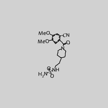 COc1cc(C#N)c(C(=O)N2CCC(CCNS(N)(=O)=O)CC2)cc1OC